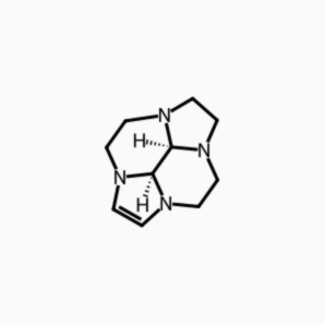 C1=CN2CCN3CCN4CCN1[C@H]2[C@H]34